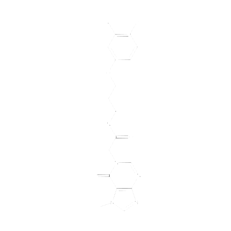 Cn1cnc2ncn(CC(=O)NCCCOc3ccc(Br)c(Cl)c3)c(=O)c21